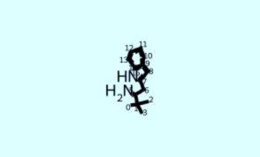 CC(C)(C)C(N)Cc1cc2ccccc2[nH]1